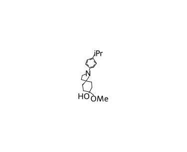 COC[C@]1(O)CC[C@]2(CCN(c3ccc(C(C)C)cc3)C2)CC1